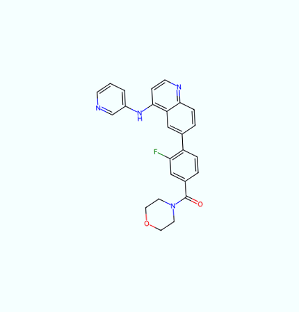 O=C(c1ccc(-c2ccc3nccc(Nc4cccnc4)c3c2)c(F)c1)N1CCOCC1